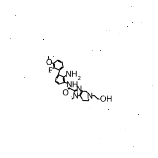 COc1cccc(-c2cccc(NC(=O)c3nc4c(n3C)CCN(CCO)C4)c2N)c1F